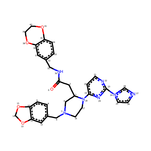 O=C(CC1CN(Cc2ccc3c(c2)OCO3)CCN1c1ccnc(-n2ccnc2)n1)NCc1ccc2c(c1)OCCO2